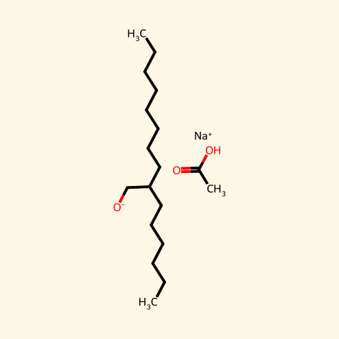 CC(=O)O.CCCCCCCCC(C[O-])CCCCCC.[Na+]